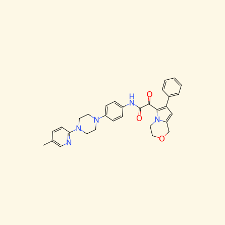 Cc1ccc(N2CCN(c3ccc(NC(=O)C(=O)c4c(-c5ccccc5)cc5n4CCOC5)cc3)CC2)nc1